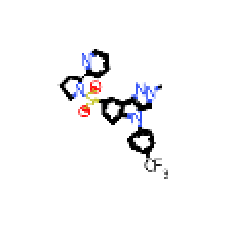 Cn1cc2c(n1)c1cc(S(=O)(=O)N3CCC[C@H]3c3ccccn3)ccc1n2-c1ccc(C(F)(F)F)cc1